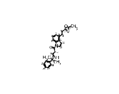 CC1OC(CCc2cccc3c2CCN3C(=O)CCNC(C)(C)c2ccccc2)O1